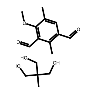 CC(CO)(CO)CO.COc1c(C)cc(C=O)c(C)c1C=O